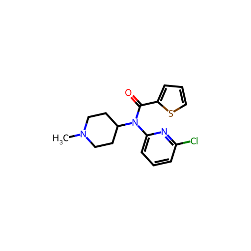 CN1CCC(N(C(=O)c2cccs2)c2cccc(Cl)n2)CC1